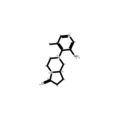 Cc1cncc(N)c1N1CCN2C(=O)CCC2C1